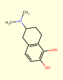 CN(C)C1CCc2c(ccc(O)c2O)C1